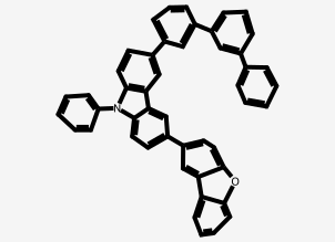 c1ccc(-c2cccc(-c3cccc(-c4ccc5c(c4)c4cc(-c6ccc7oc8ccccc8c7c6)ccc4n5-c4ccccc4)c3)c2)cc1